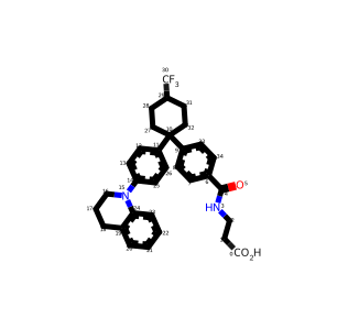 O=C(O)CCNC(=O)c1ccc(C2(c3ccc(N4CCCc5ccccc54)cc3)CCC(C(F)(F)F)CC2)cc1